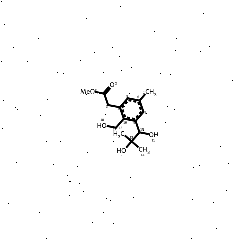 COC(=O)Cc1cc(C)cc(C(O)C(C)(C)O)c1CO